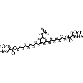 CCCCCCCCC(CCCCCC)C(=O)OCCCCCCCCCC(CCCCCCCCCOC(=O)C(CCCCCC)CCCCCCCC)CCCN(C)C